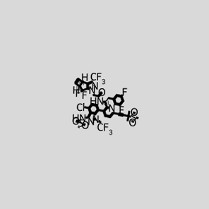 CC(C)(C#Cc1ccc(-c2ccc(Cl)c3c(NS(C)(=O)=O)nn(CC(F)(F)F)c23)c([C@H](Cc2cc(F)cc(F)c2)NC(=O)Cn2nc(C(F)(F)F)c3c2C(F)(F)[C@@H]2C#C[C@H]32)n1)S(C)(=O)=O